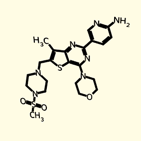 Cc1c(CN2CCN(S(C)(=O)=O)CC2)sc2c(N3CCOCC3)nc(-c3ccc(N)nc3)nc12